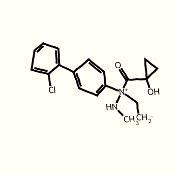 [CH2]C[N+](NC)(C(=O)C1(O)CC1)c1ccc(-c2ccccc2Cl)cc1